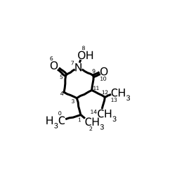 CC(C)C1CC(=O)N(O)C(=O)C1C(C)C